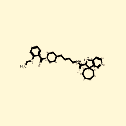 CCOc1ccccc1C(=O)N1CCC(CCCCNC(=O)C2Nc3ccncc3C23CCCCCC3)CC1